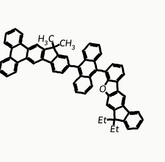 CCC1(CC)c2ccccc2-c2cc3c(cc21)oc1c(-c2c4ccccc4c(-c4ccc5c(c4)C(C)(C)c4cc6c7ccccc7c7ccccc7c6cc4-5)c4ccccc24)cccc13